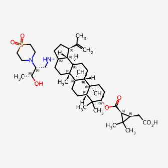 C=C(C)[C@@H]1CC[C@]2(NC[C@H]([C@@H](C)O)N3CCS(=O)(=O)CC3)CC[C@]3(C)[C@H](CC[C@@H]4[C@@]5(C)CC[C@H](OC(=O)[C@H]6[C@@H](CC(=O)O)C6(C)C)C(C)(C)[C@@H]5CC[C@]43C)[C@@H]12